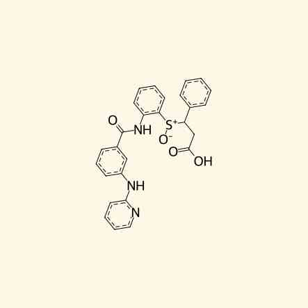 O=C(O)CC(c1ccccc1)[S+]([O-])c1ccccc1NC(=O)c1cccc(Nc2ccccn2)c1